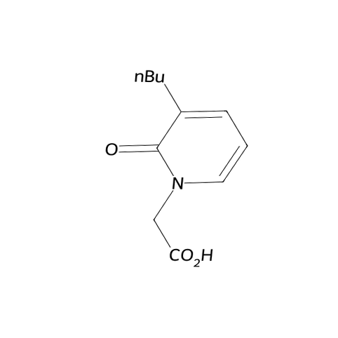 CCCCc1cccn(CC(=O)O)c1=O